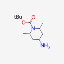 CC1CC(N)CC(C)N1C(=O)OC(C)(C)C